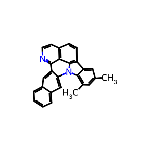 Cc1cc(C)c2c(c1)c1ccc3ccnc4c5cc6ccccc6cc5n2c1c34